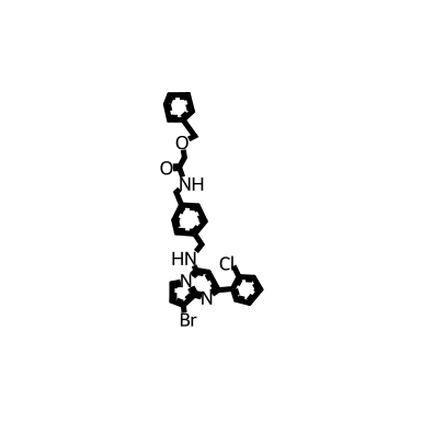 O=C(COCc1ccccc1)NCc1ccc(CNc2cc(-c3ccccc3Cl)nc3c(Br)ccn23)cc1